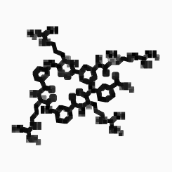 N=C(N)NCCC[C@@H](N)C(=O)Nc1cccc(C(=O)N[C@H](CCCNC(=N)N)C(=O)Nc2cccc(C(=O)N[C@H](CCCNC(=N)N)C(=O)Nc3cccc(C(=O)N[C@H](CCCNC(=N)N)C(=O)Nc4cccc(C(N)=O)c4)c3)c2)c1